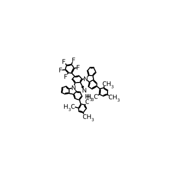 Cc1cc(C)c(-c2ccc3c(c2)c2ccccc2n3-c2cc(-c3c(F)c(F)c(F)c(F)c3F)cc(-n3c4ccccc4c4cc(-c5c(C)cc(C)cc5C)ccc43)c2C#N)c(C)c1